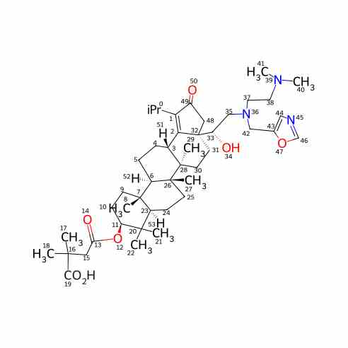 CC(C)C1=C2[C@H]3CC[C@@H]4[C@@]5(C)CC[C@H](OC(=O)CC(C)(C)C(=O)O)C(C)(C)[C@@H]5CC[C@@]4(C)[C@]3(C)CC[C@@]2([C@@H](O)CN(CCN(C)C)Cc2cnco2)CC1=O